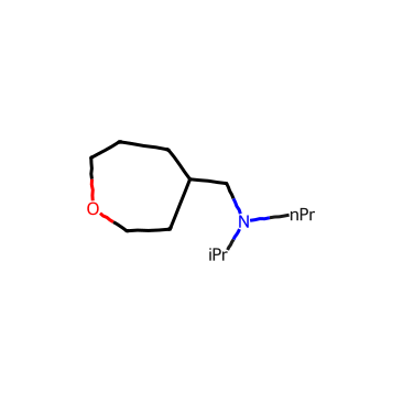 CCCN(CC1CCCOCC1)C(C)C